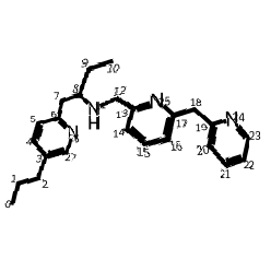 CCCc1ccc(CC(CC)NCc2cccc(Cc3ccccn3)n2)nc1